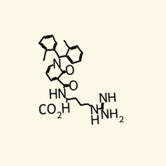 Cc1ccccc1C(c1ccccc1C)n1cccc(C(=O)N[C@@H](CCCNC(=N)N)C(=O)O)c1=O